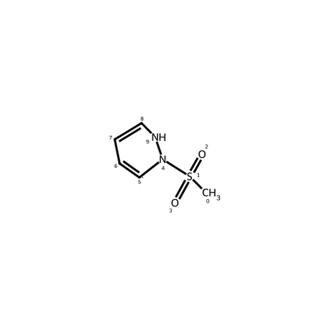 CS(=O)(=O)N1[C]=CC=CN1